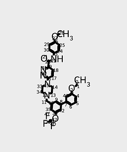 CCOc1cccc(-c2cc(CN3CCN(c4ccc(C(=O)Nc5ccc(OC)cc5)nn4)CC3)cc(OC(F)(F)F)c2)c1